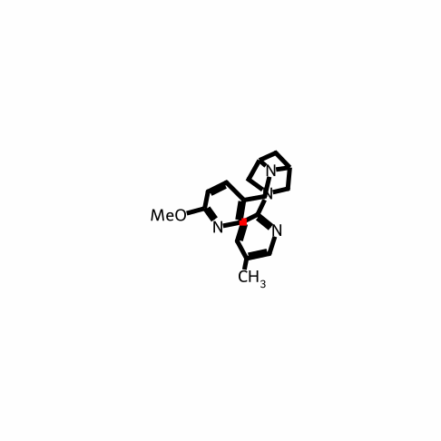 COc1ccc(CN2C3CC2CN(c2ccc(C)cn2)C3)cn1